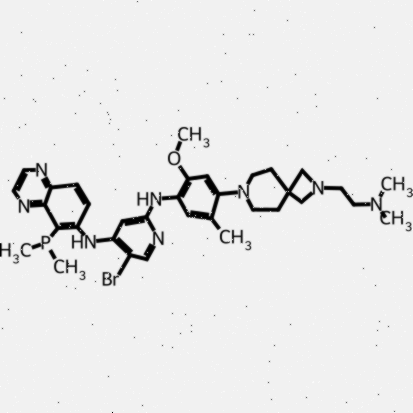 COc1cc(N2CCC3(CC2)CN(CCN(C)C)C3)c(C)cc1Nc1cc(Nc2ccc3nccnc3c2P(C)C)c(Br)cn1